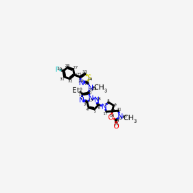 CCc1nc2ccc(N3CCC4(CN(C)C(=O)O4)C3)nn2c1N(C)c1nc(-c2ccc(F)cc2)cs1